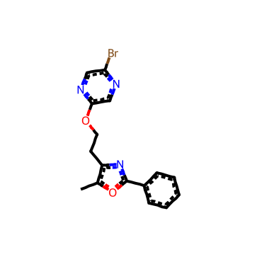 Cc1oc(-c2ccccc2)nc1CCOc1cnc(Br)cn1